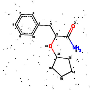 NC(=O)C(Cc1ccccc1)OC1CCCC1